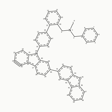 IN(Cc1ccccc1)Cc1ccccc1-c1ccc(-n2c3ccc#cc3c3ccc(-c4ccc5oc6ccccc6c5c4)cc32)cc1